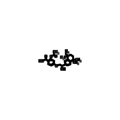 CC(=O)Oc1cc(OCC(O)c2ccc3c(c2)C(C)(C)CCC3(C)C)ccc1C(=O)O